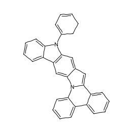 C1=CCCC(n2c3ccccc3c3cc4c(cc32)cc2c3ccccc3c3ccccc3n42)=C1